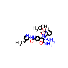 CCc1ccnc(NC(=O)c2ccc(-c3nc(C4CCCCN4C(=O)OC(C)(C)C)n(N)c3C(N)=O)cc2)c1